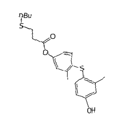 CCCCSCCC(=O)Oc1ccc(Sc2ccc(O)cc2C)c(C)c1